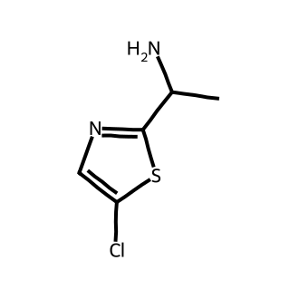 CC(N)c1ncc(Cl)s1